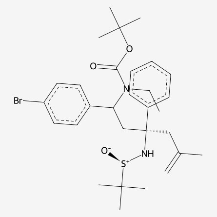 C=C(C)C[C@@](CC(c1ccc(Br)cc1)N(CC)C(=O)OC(C)(C)C)(N[S@+]([O-])C(C)(C)C)c1ccccc1